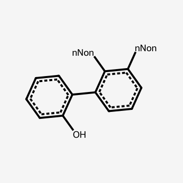 CCCCCCCCCc1cccc(-c2ccccc2O)c1CCCCCCCCC